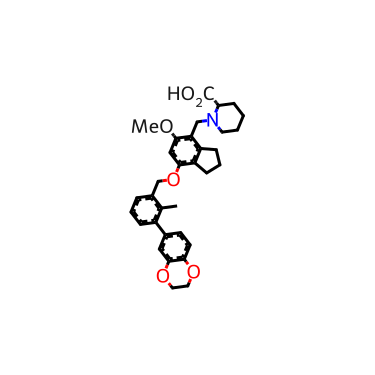 COc1cc(OCc2cccc(-c3ccc4c(c3)OCCO4)c2C)c2c(c1CN1CCCCC1C(=O)O)CCC2